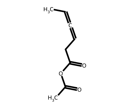 CC=C=CCC(=O)OC(C)=O